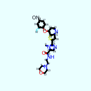 Cn1c(C(=O)NCCN2CCOCC2)cnc1-c1cc2nccc(Oc3ccc(N=O)cc3F)c2s1